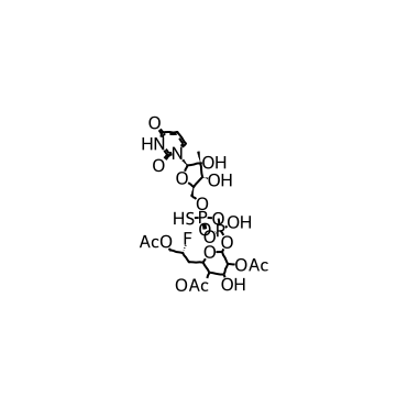 CC(=O)OC[C@H](F)CC1OC(OP(=O)(O)OP(=O)(S)OC[C@H]2O[C@@H](n3ccc(=O)[nH]c3=O)[C@](C)(O)[C@@H]2O)C(OC(C)=O)C(O)C1OC(C)=O